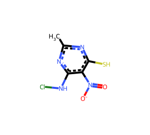 Cc1nc(S)c([N+](=O)[O-])c(NCl)n1